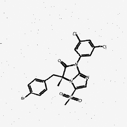 C[C@@]1(Cc2ccc(Br)cc2)C(=O)N(c2cc(Cl)cc(Cl)c2)c2ncc(S(C)(=O)=O)n21